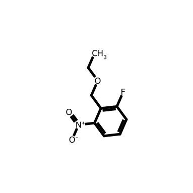 CCOCc1c(F)cccc1[N+](=O)[O-]